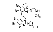 C[C@@H]1CN(c2nc3c(I)c(Br)c(Br)c4c3n2CCC4)CCN1.O[C@@H]1CCN(c2nc3c(Br)c(Br)c(Br)c4c3n2CCC4)C1